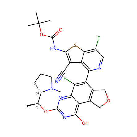 C[C@H](Oc1nc(O)c2c3c(c(-c4ncc(F)c5sc(NC(=O)OC(C)(C)C)c(C#N)c45)c(F)c2n1)COC3)[C@@H]1CCCN1C